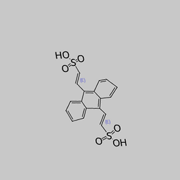 O=S(=O)(O)/C=C/c1c2ccccc2c(/C=C/S(=O)(=O)O)c2ccccc12